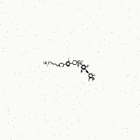 CCCCCC1CCC(c2ccc(C3CCC(OC(F)(F)c4cc(F)c(C#Cc5cc(F)c(F)c(F)c5)c(F)c4)CC3)c(F)c2)CC1